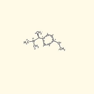 [CH2][C@@H](c1ccc(OC)cc1)N(C)C